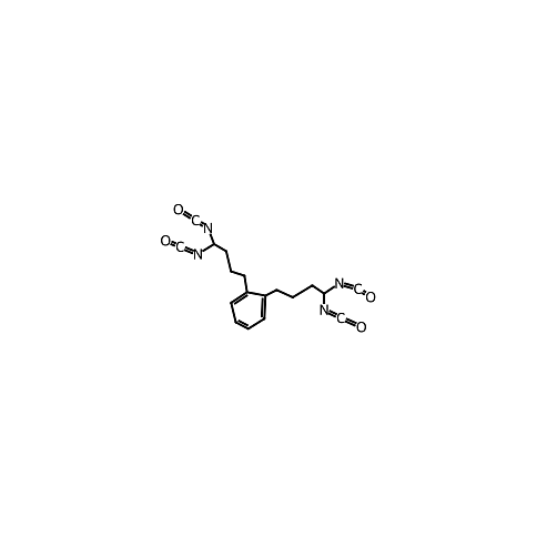 O=C=NC(CCCc1ccccc1CCCC(N=C=O)N=C=O)N=C=O